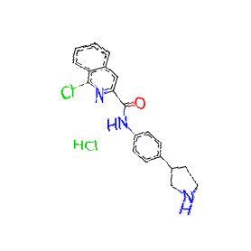 Cl.O=C(Nc1ccc(C2CCNC2)cc1)c1cc2ccccc2c(Cl)n1